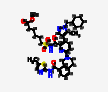 Cc1cnc(NC(=O)c2cccc3c2CN(c2ccc(-c4cnn(CC5CCCCC5)c4C)c(C(=O)NS(=O)(=O)CCCCCC(=O)OC(C)(C)C)n2)CC3)s1